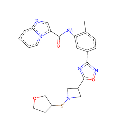 Cc1ccc(-c2noc(C3CN(SC4CCOC4)C3)n2)cc1NC(=O)c1cnc2ccccn12